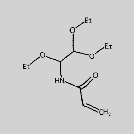 C=CC(=O)NC(OCC)C(OCC)OCC